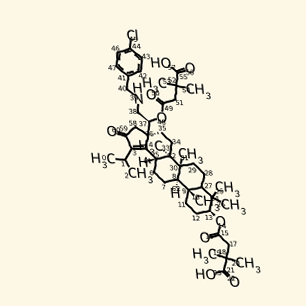 CC(C)C1=C2[C@H]3CC[C@@H]4[C@@]5(C)CC[C@H](OC(=O)CC(C)(C)C(=O)O)C(C)(C)C5CC[C@@]4(C)[C@]3(C)CC[C@@]2([C@@H](CNCc2ccc(Cl)cc2)OC(=O)CC(C)(C)C(=O)O)CC1=O